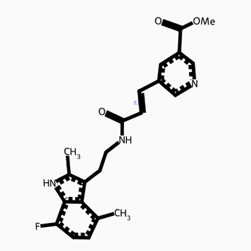 COC(=O)c1cncc(/C=C/C(=O)NCCc2c(C)[nH]c3c(F)ccc(C)c23)c1